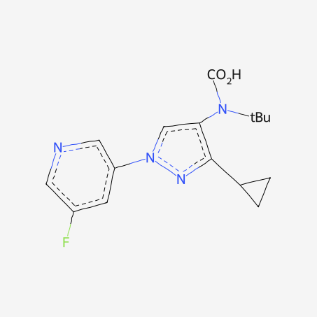 CC(C)(C)N(C(=O)O)c1cn(-c2cncc(F)c2)nc1C1CC1